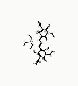 CCN(CC)CC.CCN1C(=O)C(=CC=Cc2c(C)c(C#N)c(=O)n(CC)c2O)C(C)=C(C#N)C1=O